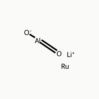 [Li+].[O]=[Al][O-].[Ru]